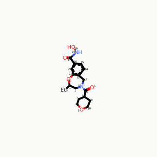 CCC1CN(C(=O)C2CCOCC2)Cc2ccc(C(=O)NO)cc2O1